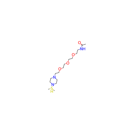 CC(=O)NCCOCCOCCOCCN1CCN([SH](C)C)CC1